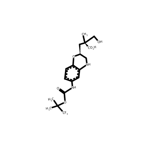 CC(C)(OC(=O)Nc1ccc2c(c1)NC[C@H](C[C@](C)(CO)C(=O)O)O2)C(F)(F)F